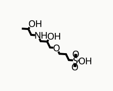 CC(O)CNCC(O)COCCCS(=O)(=O)O